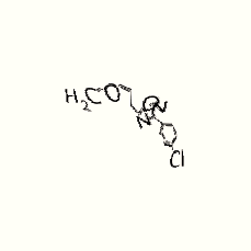 C=CO/C=C\Cc1nc(-c2ccc(Cl)cc2)no1